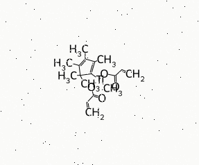 C=CC(=O)[O][Ti]([CH3])([O]C(=O)C=C)[C]1=C(C)C(C)=C(C)C1(C)C